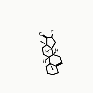 C[C@]12CCCCC1=CC[C@@H]1[C@H]2CC[C@]2(C)C(=O)C(F)C[C@@H]12